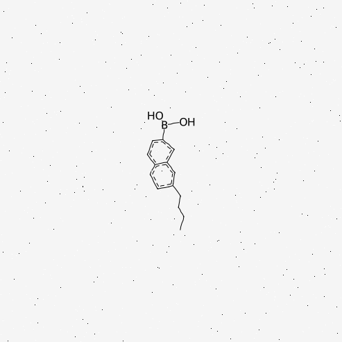 CCCCc1ccc2ccc(B(O)O)cc2c1